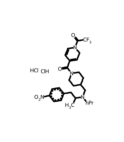 CCCN(CC1CCN(C(=O)C2=CCN(C(=O)C(F)(F)F)C=C2)CC1)C(C)Cc1ccc([N+](=O)[O-])cc1.Cl.Cl